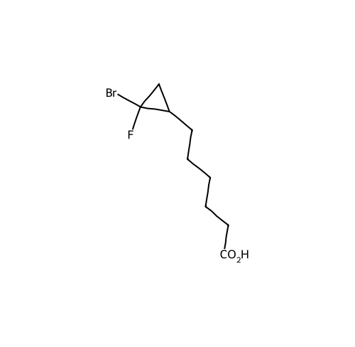 O=C(O)CCCCCC1CC1(F)Br